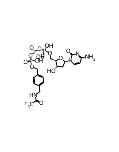 Nc1ccn([C@H]2C[C@@H](O)[C@@H](COP(=O)(O)OP(=O)(O)OP(=O)(O)OCc3ccc(CNC(=O)C(F)(F)F)cc3)O2)c(=O)n1